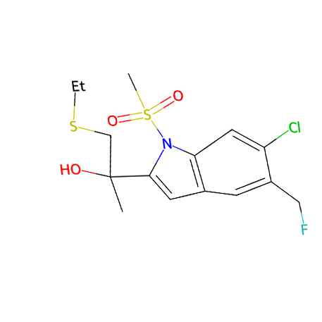 CCSCC(C)(O)c1cc2cc(CF)c(Cl)cc2n1S(C)(=O)=O